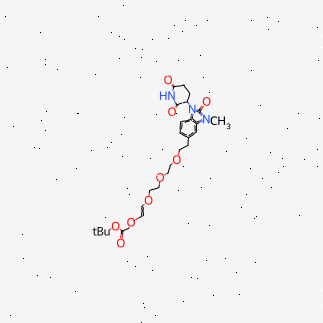 Cn1c(=O)n(C2CCC(=O)NC2=O)c2ccc(CCOCCOCCOC=COCC(=O)OC(C)(C)C)cc21